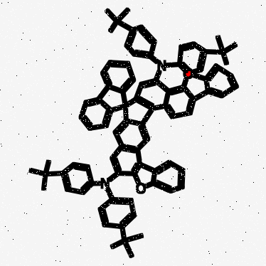 CC(C)(C)c1ccc(N(c2ccc(C(C)(C)C)cc2)c2cc3cc4c(cc3c3c2oc2ccccc23)-c2c(cc(N(c3ccc(C(C)(C)C)cc3)c3ccc(C(C)(C)C)cc3)c3c2ccc2c5ccccc5oc23)C42c3ccccc3-c3ccccc32)cc1